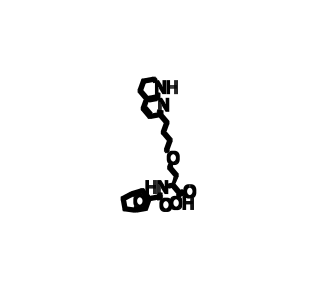 O=C(N[C@@H](CCOCCCCc1ccc2c(n1)NCCC2)C(=O)O)C1CC2CCC(C1)O2